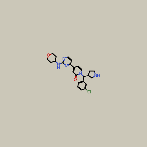 O=c1cc(-c2ccnc(NC3CCOCC3)n2)ccn1C(c1cccc(Cl)c1)[C@H]1CCNC1